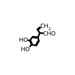 C=CC(C=O)c1ccc(O)c(O)c1